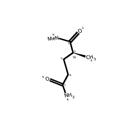 CNC(=O)[C@@H](C)CCC(N)=O